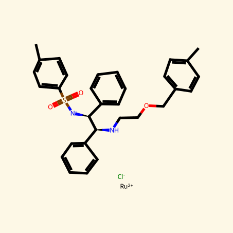 Cc1ccc(COCCN[C@@H](c2ccccc2)[C@@H]([N-]S(=O)(=O)c2ccc(C)cc2)c2ccccc2)cc1.[Cl-].[Ru+2]